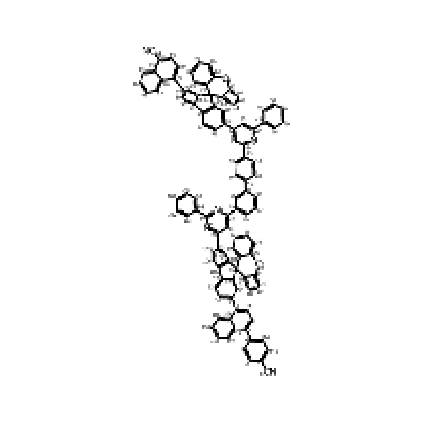 N#Cc1ccc(-c2ccc(-c3ccc4c(c3)C3(c5ccccc5Oc5ccccc53)c3cc(-c5cc(-c6cccc(-c7ccc(-c8nc(-c9ccccc9)cc(-c9ccc%10c(c9)C9(c%11ccccc%11Oc%11ccccc%119)c9cc(-c%11ccc(C#N)c%12ccccc%11%12)ccc9-%10)n8)cc7)c6)nc(-c6ccccc6)n5)ccc3-4)c3ccccc23)cc1